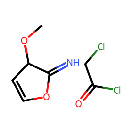 COC1C=COC1=N.O=C(Cl)CCl